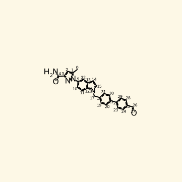 Cc1cc(C(N)=O)nn1-c1ccc2c(ccn2Cc2ccc(-c3ccc(C=O)cc3)cc2)c1